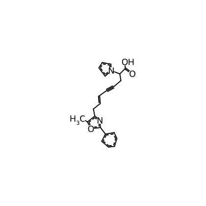 Cc1oc(-c2ccccc2)nc1CC=CC#CCC(C(=O)O)n1cccc1